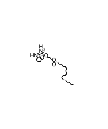 CCCCC/C=C\C/C=C\C/C=C\CCCCC(=O)OCCCOC(=O)C(C)(N)c1c[nH]c2ccccc12